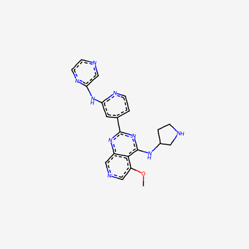 COc1cncc2nc(-c3ccnc(Nc4cnccn4)c3)nc(NC3CCNC3)c12